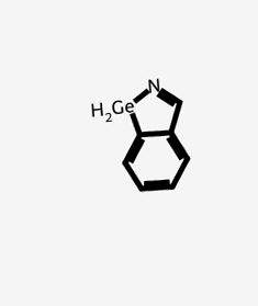 C1=[N][GeH2][c]2ccccc21